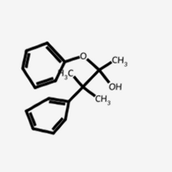 CC(O)(Oc1ccccc1)C(C)(C)c1ccccc1